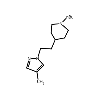 CCCCN1CCC(CCn2cc(C)cn2)CC1